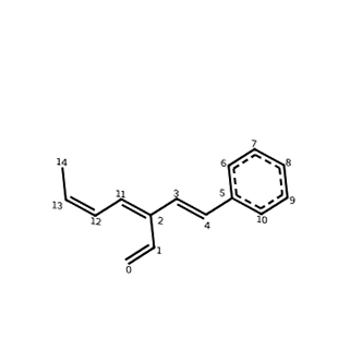 C=C/C(C=Cc1ccccc1)=C\C=C/C